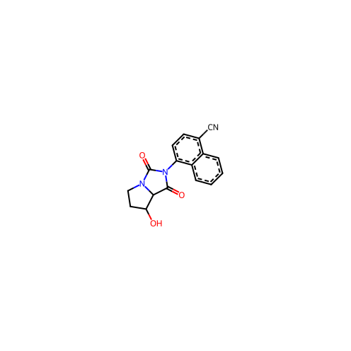 N#Cc1ccc(N2C(=O)C3C(O)CCN3C2=O)c2ccccc12